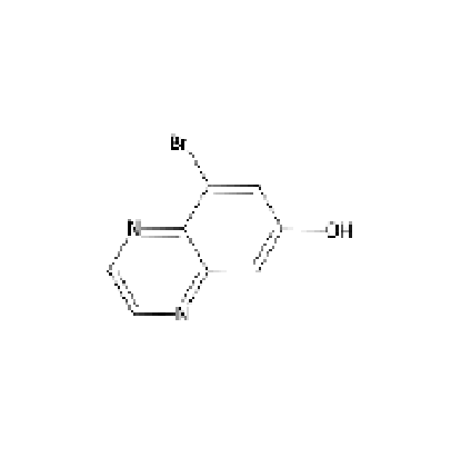 Oc1cc(Br)c2nccnc2c1